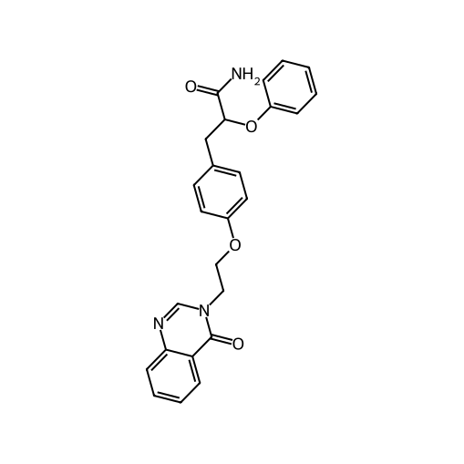 NC(=O)C(Cc1ccc(OCCn2cnc3ccccc3c2=O)cc1)Oc1ccccc1